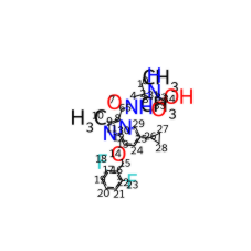 CCC(C)(CNC(=O)c1c(C)nc2c(OCc3c(F)cccc3F)cc(C3CC3)cn12)NC(=O)O